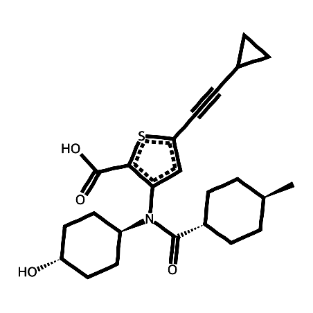 C[C@H]1CC[C@H](C(=O)N(c2cc(C#CC3CC3)sc2C(=O)O)[C@H]2CC[C@H](O)CC2)CC1